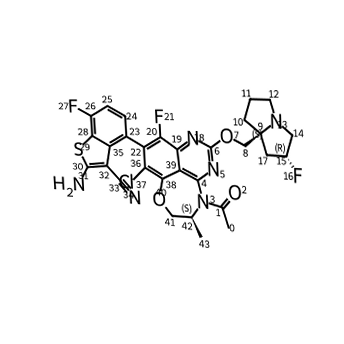 CC(=O)N1c2nc(OC[C@@]34CCCN3C[C@H](F)C4)nc3c(F)c(-c4ccc(F)c5sc(N)c(C#N)c45)c(Cl)c(c23)OC[C@@H]1C